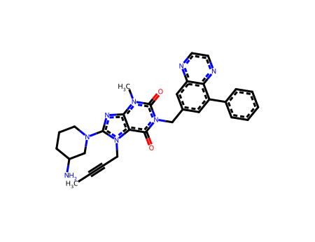 CC#CCn1c(N2CCCC(N)C2)nc2c1c(=O)n(Cc1cc(-c3ccccc3)c3nccnc3c1)c(=O)n2C